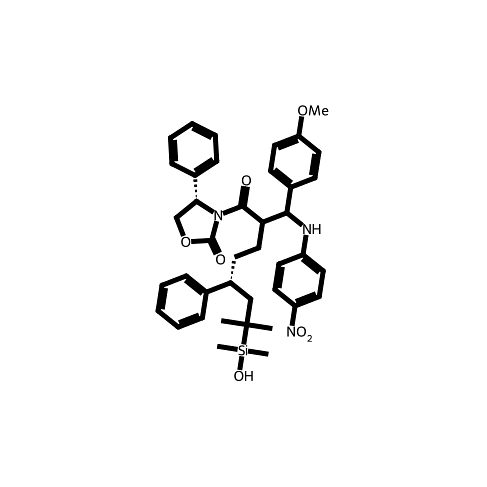 COc1ccc(C(Nc2ccc([N+](=O)[O-])cc2)C(CC[C@H](CC(C)(C)[Si](C)(C)O)c2ccccc2)C(=O)N2C(=O)OC[C@@H]2c2ccccc2)cc1